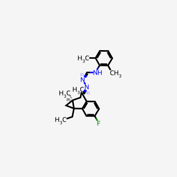 CCC1(c2cc(F)ccc2/C=N/N=C\Nc2c(C)cccc2C)C[C@@]1(C)CC